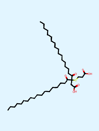 CCCCCCCCCCCCCCCCCC(=O)C(CC(=O)O)(SCCC(=O)O)C(=O)CCCCCCCCCCCCCCCCC